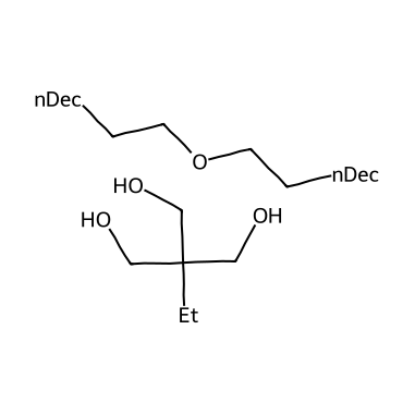 CCC(CO)(CO)CO.CCCCCCCCCCCCOCCCCCCCCCCCC